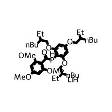 CCCCC(CC)COc1cc(OCC(CC)CCCC)c(PC(=O)c2c(OC)cc(OC)cc2OC)c(OCC(CC)CCCC)c1.[LiH]